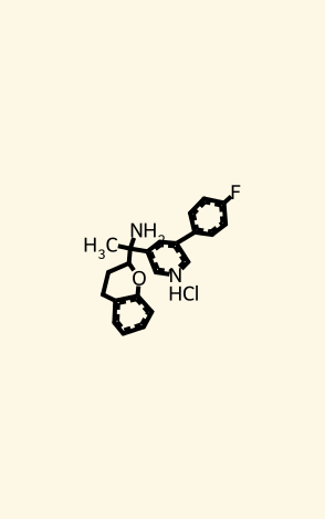 CC(N)(c1cncc(-c2ccc(F)cc2)c1)C1CCc2ccccc2O1.Cl